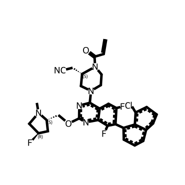 C=CC(=O)N1CCN(c2nc(OC[C@@H]3C[C@@H](F)CN3C)nc3c(F)c(-c4cccc5cccc(Cl)c45)c(F)cc23)C[C@@H]1CC#N